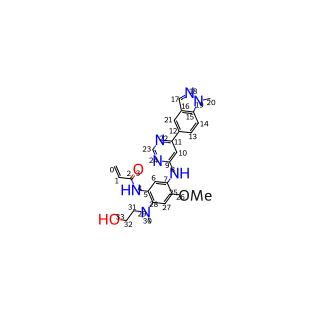 C=CC(=O)Nc1cc(Nc2cc(-c3ccc4c(cnn4C)c3)ncn2)c(OC)cc1N(C)CCO